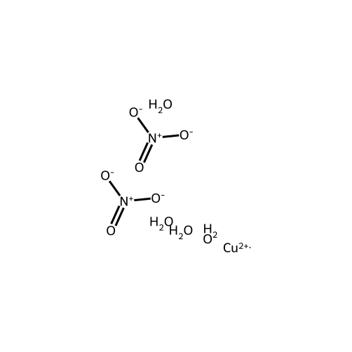 O.O.O.O.O=[N+]([O-])[O-].O=[N+]([O-])[O-].[Cu+2]